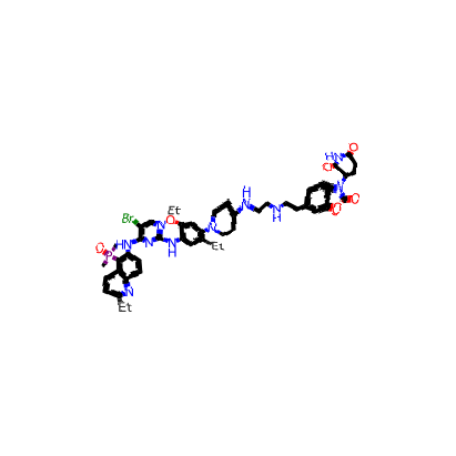 CCOc1cc(N2CCC(NCCNCCc3ccc4c(c3)oc(=O)n4C3CCC(=O)NC3=O)CC2)c(CC)cc1Nc1ncc(Br)c(Nc2ccc3nc(CC)ccc3c2P(C)(C)=O)n1